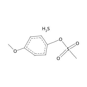 COc1ccc(OS(C)(=O)=O)cc1.S